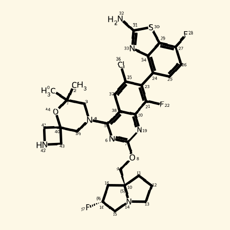 CC1(C)CN(c2nc(OC[C@@]34CCCN3C[C@H](F)C4)nc3c(F)c(-c4ccc(F)c5sc(N)nc45)c(Cl)cc23)CC2(CNC2)O1